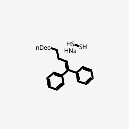 CCCCCCCCCCCCC=C(c1ccccc1)c1ccccc1.SS.[NaH]